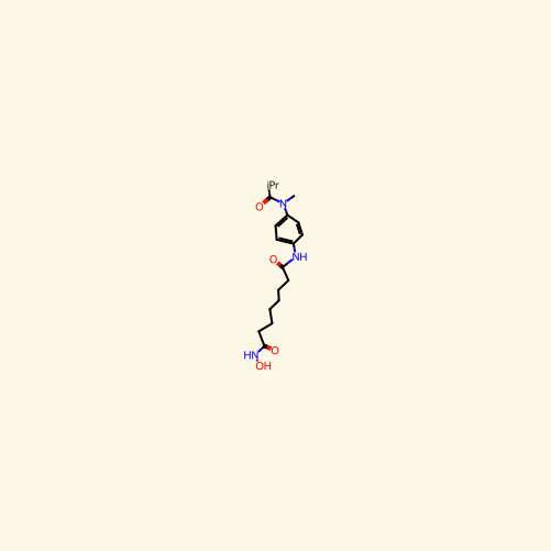 CC(C)C(=O)N(C)c1ccc(NC(=O)CCCCCCC(=O)NO)cc1